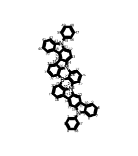 c1ccc(-n2c3ccccc3c3cc4c(cc32)c2cccc3c2n4-c2cccc4c2B3c2cccc3c5c6c7ccccc7n(-c7ccccc7)c6ccc5n-4c23)cc1